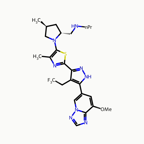 CCCNC[C@H]1C[C@H](C)CN1c1sc(-c2n[nH]c(-c3cc(OC)c4ncnn4c3)c2CC(F)(F)F)nc1C